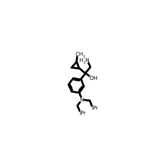 CC(C)CN(CC(C)C)c1cccc(C(O)(CN)C2CC2C)c1